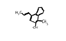 C/C=C/c1cc(O)c(C)c2ccccc12